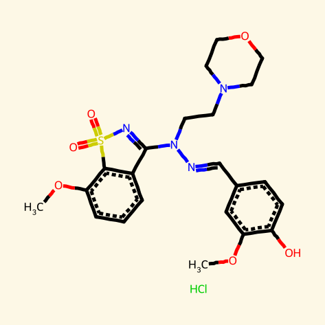 COc1cc(C=NN(CCN2CCOCC2)C2=NS(=O)(=O)c3c(OC)cccc32)ccc1O.Cl